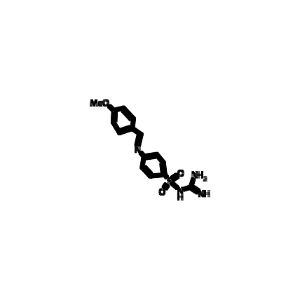 COc1ccc(C=Nc2ccc(S(=O)(=O)NC(=N)N)cc2)cc1